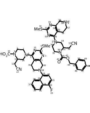 CSc1nc2c(c(N3CCN(C(=O)O)C(CC#N)C3)n1)CCN(c1ccc(F)c3ccccc13)C2.CSc1nc2c(c(N3CCN(C(=O)OCc4ccccc4)C(CC#N)C3)n1)CCNC2